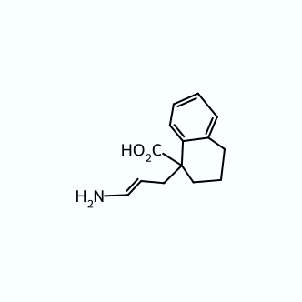 NC=CCC1(C(=O)O)CCCc2ccccc21